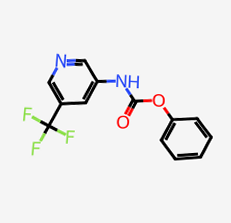 O=C(Nc1cncc(C(F)(F)F)c1)Oc1ccccc1